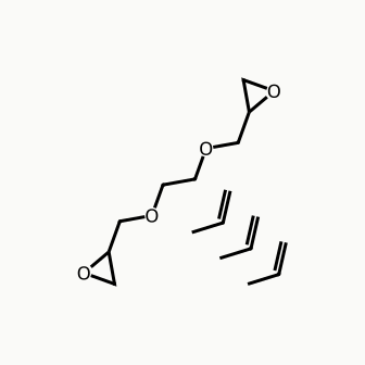 C(COCC1CO1)OCC1CO1.C=CC.C=CC.C=CC